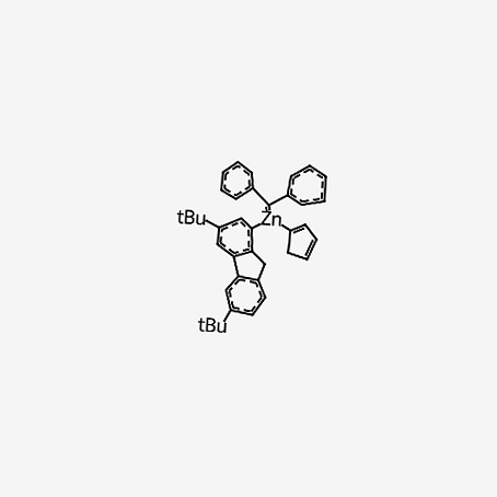 CC(C)(C)c1ccc2c(c1)-c1cc(C(C)(C)C)c[c]([Zn]([C]3=CC=CC3)=[C](c3ccccc3)c3ccccc3)c1C2